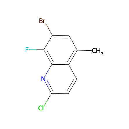 Cc1cc(Br)c(F)c2nc(Cl)ccc12